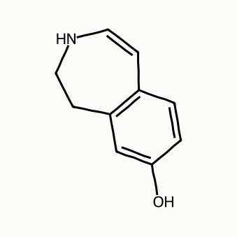 Oc1ccc2c(c1)CCNC=C2